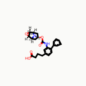 CN1[C@@H]2C[C@@H](OC(=O)Nc3cc(CCCC(=O)O)ccc3-c3ccccc3)C[C@H]1[C@@H]1O[C@@H]12